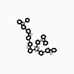 c1ccc(-n2c3ccccc3c3ccc(-c4ccc5oc6cc(-c7ccc8c(c7)sc7cccc(-c9nc(-c%10cccc(-c%11ccc%12c(c%11)oc%11ccccc%11%12)c%10)nc(-c%10cccc(-n%11c%12ccccc%12c%12ccccc%12%11)c%10)n9)c78)ccc6c5c4)cc32)cc1